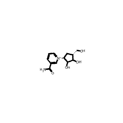 NC(=O)c1ccc[n+]([C@@H]2C[C@H](CO)C(O)C2O)c1